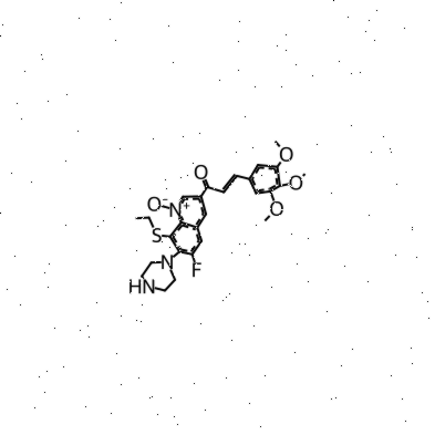 CCSc1c(N2CCNCC2)c(F)cc2cc(C(=O)C=Cc3cc(OC)c(OC)c(OC)c3)c[n+]([O-])c12